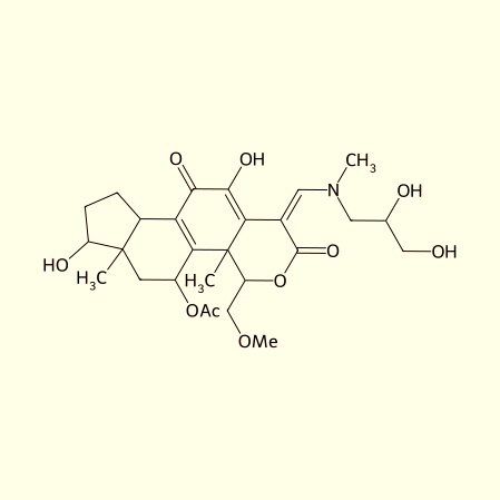 COCC1OC(=O)C(=CN(C)CC(O)CO)C2=C(O)C(=O)C3=C(C(OC(C)=O)CC4(C)C(O)CCC34)C21C